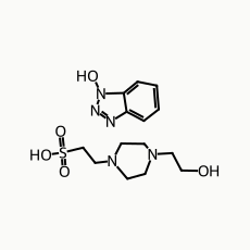 O=S(=O)(O)CCN1CCN(CCO)CC1.On1nnc2ccccc21